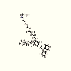 CCCCCCC/C=C/CCCCCCC(=O)NCCCC[C@H](NC(=O)OCC1c2ccccc2-c2ccccc21)C(=O)OCCS(C)(C)C